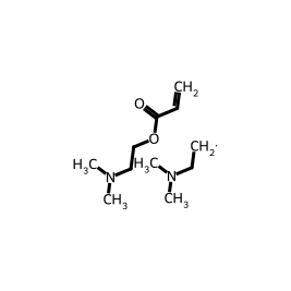 C=CC(=O)OCCN(C)C.[CH2]CN(C)C